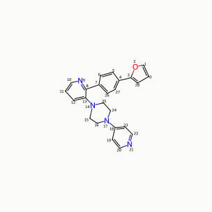 c1coc(-c2ccc(-c3ncccc3N3CCN(c4ccncc4)CC3)cc2)c1